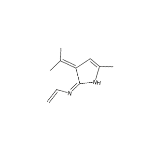 C=C/N=C1/NC(C)=CC1=C(C)C